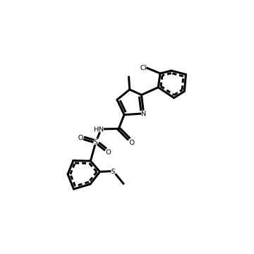 CSc1ccccc1S(=O)(=O)NC(=O)C1=CC(C)C(c2ccccc2Cl)=N1